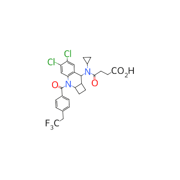 O=C(O)CCC(=O)N(C1CC1)C1c2cc(Cl)c(Cl)cc2N(C(=O)c2ccc(CC(F)(F)F)cc2)C2CCC21